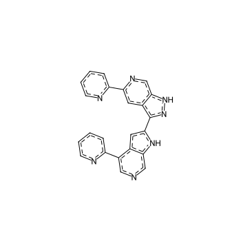 c1ccc(-c2cc3c(-c4cc5c(-c6ccccn6)cncc5[nH]4)n[nH]c3cn2)nc1